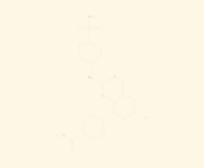 NC(=O)c1ccc(-c2cc(F)cc3cnc(Nc4ccc(S(N)(=O)=O)cc4)nc23)cc1